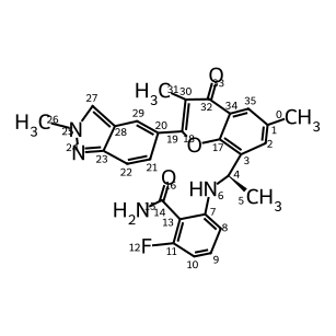 Cc1cc([C@@H](C)Nc2cccc(F)c2C(N)=O)c2oc(-c3ccc4nn(C)cc4c3)c(C)c(=O)c2c1